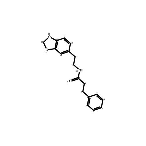 O=C(CCc1ccccc1)NCCc1ccc2c(c1)OCO2